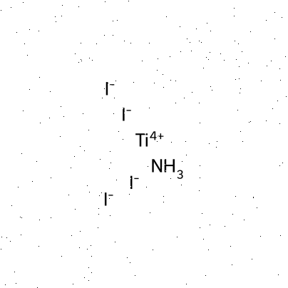 N.[I-].[I-].[I-].[I-].[Ti+4]